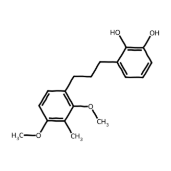 COc1ccc(CCCc2cccc(O)c2O)c(OC)c1C